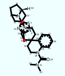 CCc1nsc(N2C3CC[C@@H]2CC(N2CCC4(CCN(C(=O)N(C)C)c5ccccc54)CC2)C3)n1